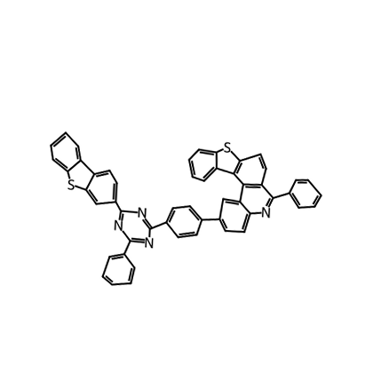 c1ccc(-c2nc(-c3ccc(-c4ccc5nc(-c6ccccc6)c6ccc7sc8ccccc8c7c6c5c4)cc3)nc(-c3ccc4c(c3)sc3ccccc34)n2)cc1